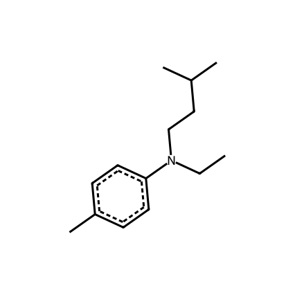 CCN(CCC(C)C)c1ccc(C)cc1